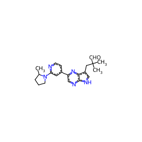 CC1CCCN1c1cc(-c2cnc3[nH]cc(CC(C)(C)C=O)c3n2)ccn1